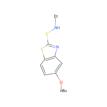 CCCCOc1ccc2sc(SNCC)nc2c1